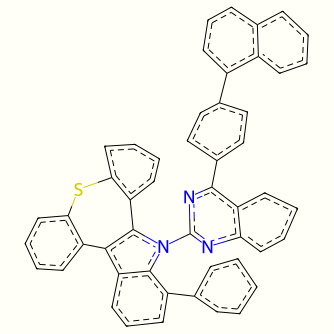 c1ccc(-c2cccc3c4c(n(-c5nc(-c6ccc(-c7cccc8ccccc78)cc6)c6ccccc6n5)c23)-c2ccccc2Sc2ccccc2-4)cc1